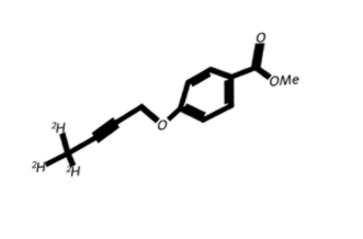 [2H]C([2H])([2H])C#CCOc1ccc(C(=O)OC)cc1